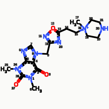 Cn1c(=O)c2c(ncn2Cc2noc(CC[N+]3(C)CCNCC3)n2)n(C)c1=O